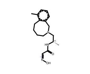 Cc1cccc2c1CCCCN(C[C@H](C)NC(=O)/C=N\O)C2